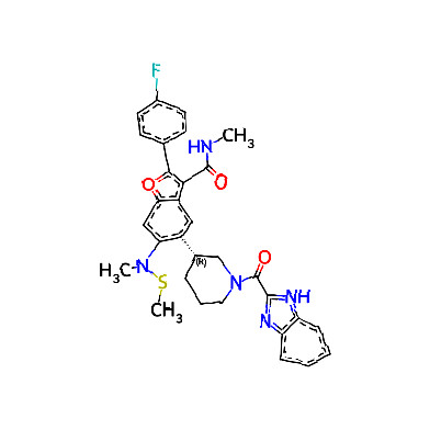 CNC(=O)c1c(-c2ccc(F)cc2)oc2cc(N(C)SC)c([C@H]3CCCN(C(=O)c4nc5ccccc5[nH]4)C3)cc12